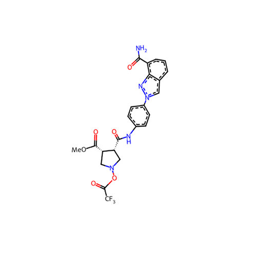 COC(=O)[C@H]1CN(OC(=O)C(F)(F)F)C[C@H]1C(=O)Nc1ccc(-n2cc3cccc(C(N)=O)c3n2)cc1